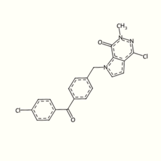 Cn1nc(Cl)c2ccn(Cc3ccc(C(=O)c4ccc(Cl)cc4)cc3)c2c1=O